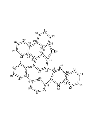 c1ccc(-c2cccc(-c3nc4ccccc4nc3-c3ccc4c5ccccc5c5cccc6oc3c4c65)c2)cc1